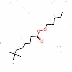 CCCCCOOC(=O)CCCCCC(C)(C)C